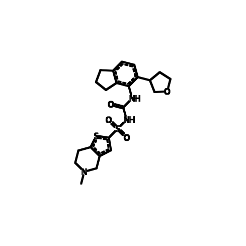 CN1CCc2sc(S(=O)(=O)NC(=O)Nc3c(C4CCOC4)ccc4c3CCC4)cc2C1